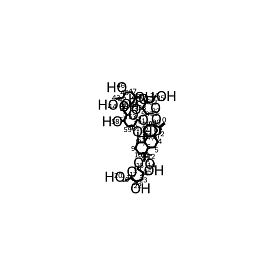 C=C1C[C@@]23CCC4C(CCC[C@@]4(C)C(=O)OC4OC(CO)C(O)CC4O)[C@@H]2CC[C@]1(OC1OC(CO)C(O)C(OC2OC(CO)C(O)CC2O)C1OC1OC(CO)C(O)CC1O)C3